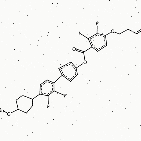 C=CCCOc1ccc(C(=O)Oc2ccc(-c3ccc(C4CCC(OCCCC)CC4)c(F)c3F)cc2)c(F)c1F